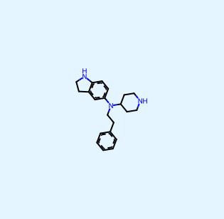 c1ccc(CCN(c2ccc3c(c2)CCN3)C2CCNCC2)cc1